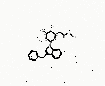 CONC[C@H]1O[C@@H](n2cc(Cc3ccccc3)c3ccccc32)[C@H](O)[C@@H](O)[C@@H]1O